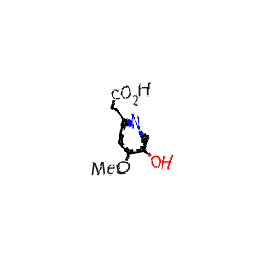 COc1cc(CC(=O)O)ncc1O